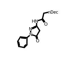 CCCCCCCCCCCC(=O)NC1=NN(c2ccccc2)C(=O)C1